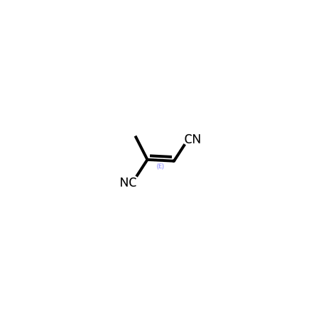 C/C(C#N)=C\C#N